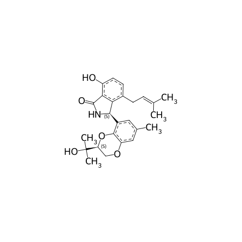 CC(C)=CCc1ccc(O)c2c1[C@@H](c1cc(C)cc3c1O[C@H](C(C)(C)O)CO3)NC2=O